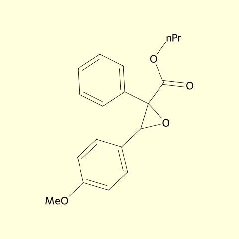 CCCOC(=O)C1(c2ccccc2)OC1c1ccc(OC)cc1